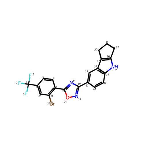 FC(F)(F)c1ccc(-c2nc(-c3ccc4[nH]c5c(c4c3)CC[CH]5)no2)c(Br)c1